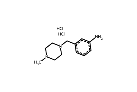 CN1CCN(Cc2cccc(N)c2)CC1.Cl.Cl